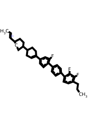 C/C=C/C1CCC(C2CC=C(c3ccc(-c4ccc(-c5ccc(CCC)c(F)c5F)cc4)c(F)c3)CC2)CC1